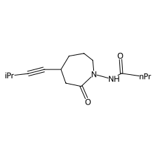 CCCC(=O)NN1CCCC(C#CC(C)C)CC1=O